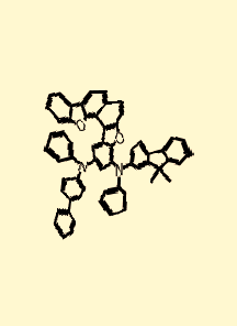 CC1(C)c2ccccc2-c2ccc(N(c3ccccc3)c3cc(N(c4ccccc4)c4ccc(-c5ccccc5)cc4)cc4c3oc3ccc5ccc6c7ccccc7oc6c5c34)cc21